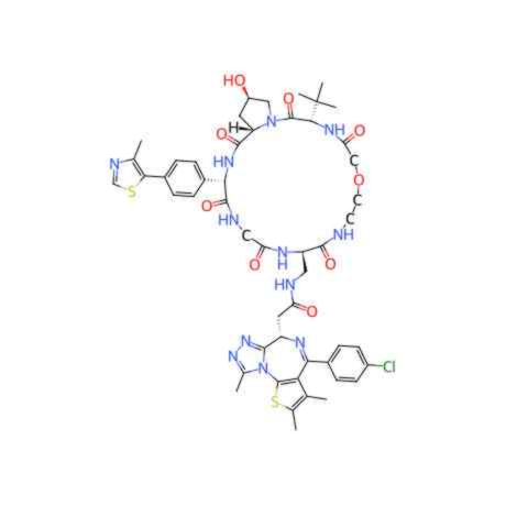 Cc1ncsc1-c1ccc([C@@H]2NC(=O)[C@@H]3C[C@@H](O)CN3C(=O)[C@H](C(C)(C)C)NC(=O)COCCNC(=O)[C@@H](CNC(=O)C[C@@H]3N=C(c4ccc(Cl)cc4)c4c(sc(C)c4C)-n4c(C)nnc43)NC(=O)CNC2=O)cc1